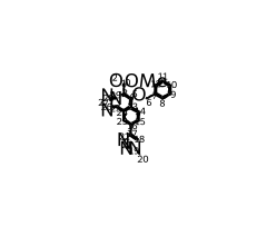 COC(=O)c1c(OCc2ccccc2)c2ccc(-c3cn(C)nn3)cc2c2ncnn12